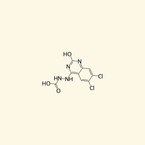 O=C(O)NNc1nc(O)nc2cc(Cl)c(Cl)cc12